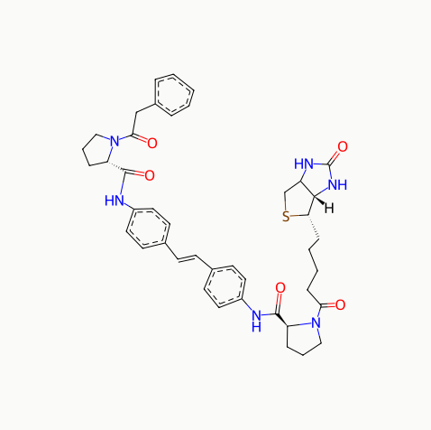 O=C1NC2CS[C@@H](CCCCC(=O)N3CCC[C@H]3C(=O)Nc3ccc(/C=C/c4ccc(NC(=O)[C@@H]5CCCN5C(=O)Cc5ccccc5)cc4)cc3)[C@H]2N1